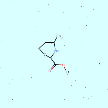 CCOC(=O)C1CCCC(C)N1